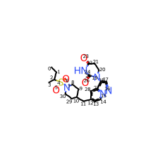 CCC(C)S(=O)(=O)N1CCC(Cc2ccn3ncc(N4CCC(=O)NC4=O)c3c2)CC1